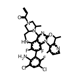 C=CC(=O)N1CC(C)N2c3nc(=O)n(-c4c(C)ccnc4C(C)C)c4c(F)c(-c5c(N)c(Cl)cc(Cl)c5F)c(F)c(c34)NCC2C1